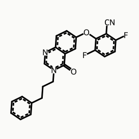 N#Cc1c(F)ccc(F)c1Oc1ccc2ncn(CCCc3ccccc3)c(=O)c2c1